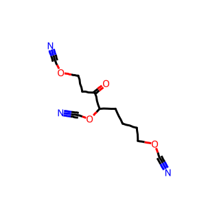 N#COCCCCC(OC#N)C(=O)CCOC#N